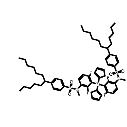 CCCCCCC(CCCCC)c1ccc(S(=O)(=O)N(C)c2ccc(F)[c]([Ti]([C]3=CC=CC3)([C]3=CC=CC3)[c]3c(F)ccc(N(C)S(=O)(=O)c4ccc(C(CCCCC)CCCCCC)cc4)c3F)c2F)cc1